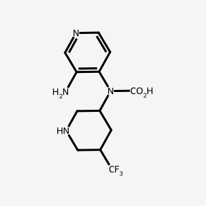 Nc1cnccc1N(C(=O)O)C1CNCC(C(F)(F)F)C1